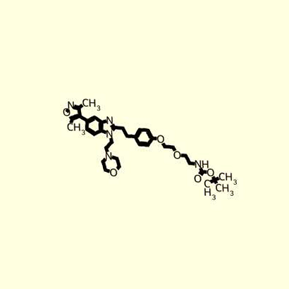 Cc1noc(C)c1-c1ccc2c(c1)nc(CCc1ccc(OCCOCCNC(=O)OC(C)(C)C)cc1)n2CCN1CCOCC1